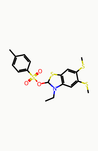 CCN1c2cc(SC)c(SC)cc2SC1OS(=O)(=O)c1ccc(C)cc1